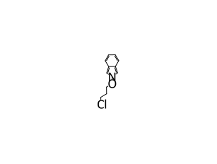 ClCCCOn1cc2ccccc2c1